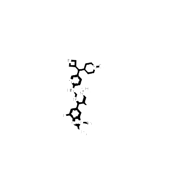 C=N/C=C(F)\C(=N/CNc1ccc(C(C2CCN(CC)CC2)C2CNC2)cn1)c1cc(F)c2nc(C)n(C(C)C)c2c1